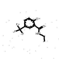 CCNC(=O)c1cc(C(F)(F)F)ccc1Cl